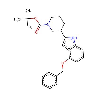 CC(C)(C)OC(=O)N1CCCC(c2cc3c(OCc4ccccc4)cccc3[nH]2)C1